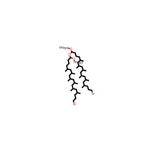 CCCCCCCOC(CCCC(C)CC(C)CC(C)CC(C)CC(C)CC(C)CCCBr)OC(CCCC(C)CC(C)CC(C)CC(C)CC(C)CC(C)CCCBr)OCCCCCCC